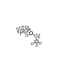 CC(NC(=O)c1ccc(/C=C/C(c2cc(Cl)c(Cl)c(Cl)c2)C(F)(F)F)cc1Cl)C(=O)NC(C(F)(F)F)C(F)(F)F